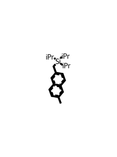 Cc1ccc2cc(C[Si](C(C)C)(C(C)C)C(C)C)ccc2c1